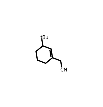 CC(C)(C)C1C=C(CC#N)CCC1